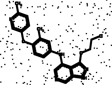 Cc1ccc(Oc2ccc(Nc3cncc4[nH]nc(OCCCl)c34)cc2C)cn1